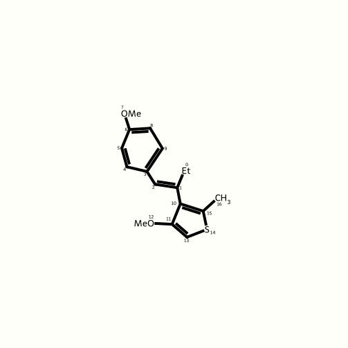 CCC(=Cc1ccc(OC)cc1)c1c(OC)csc1C